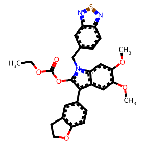 CCOC(=O)Oc1c(-c2ccc3c(c2)CCO3)c2cc(OC)c(OC)cc2n1Cc1ccc2nsnc2c1